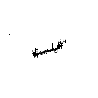 Cc1c(C)c2c(c(C)c1O)CCC(C)(CCC(=O)NCCCOCCOCCOCCCNC(=O)C(C)C(C)(C)S)O2